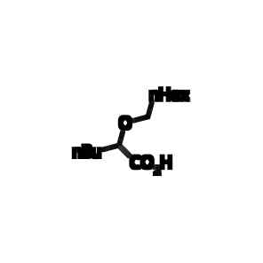 CCCCCCCOC(CCCC)C(=O)O